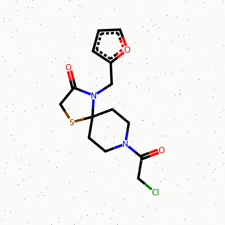 O=C(CCl)N1CCC2(CC1)SCC(=O)N2Cc1ccco1